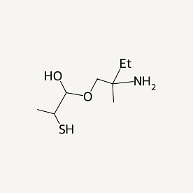 CCC(C)(N)COC(O)C(C)S